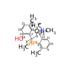 CCC(CC)(Pc1c(C)cccc1CN(C)C)c1cc(C)ccc1O